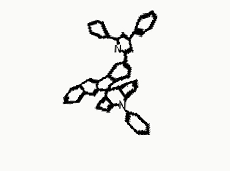 c1ccc(-c2cc(-c3ccccc3)nc(-c3ccc4c(c3)-c3cc5ccccc5cc3C43c4ccccc4N(c4ccccc4)c4ccccc43)c2)cc1